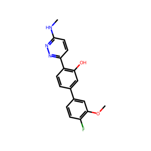 CNc1ccc(-c2ccc(-c3ccc(F)c(OC)c3)cc2O)nn1